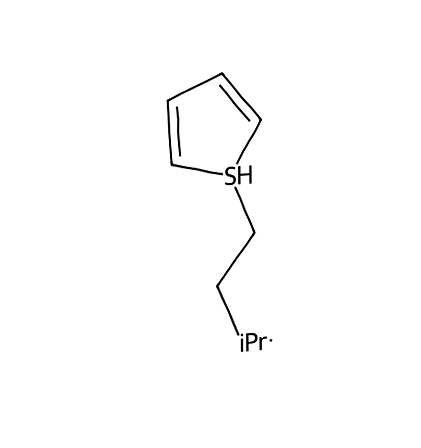 C[C](C)CC[SH]1C=CC=C1